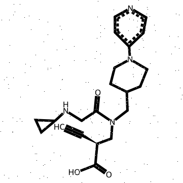 C#C[C@@H](CN(CC1CCN(c2ccncc2)CC1)C(=O)CNC1CC1)C(=O)O